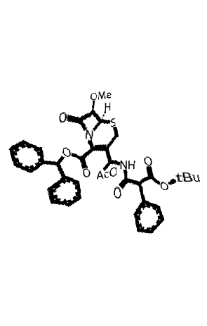 CO[C@@H]1C(=O)N2C(C(=O)OC(c3ccccc3)c3ccccc3)=C(C(NC(=O)C(C(=O)OC(C)(C)C)c3ccccc3)OC(C)=O)CS[C@H]12